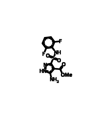 COC(=O)c1c(S(=O)(=O)Nc2c(F)cccc2F)n[nH]c1N